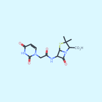 CC1(C)SC2C(NC(=O)Cn3ccc(=O)[nH]c3=O)C(=O)N2C1C(=O)O